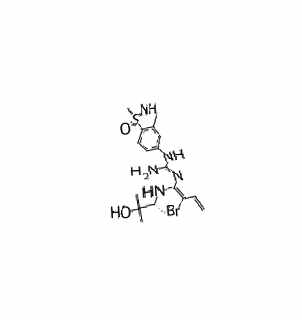 C=C/C(Br)=C(\N=C(/N)Nc1ccc(S(C)(=N)=O)c(C)c1)N[C@H](C)C(C)(C)O